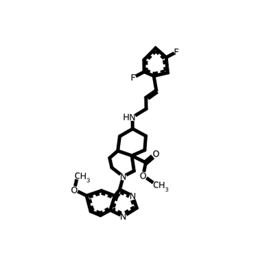 COC(=O)C12CCC(NCC=Cc3cc(F)ccc3F)CC1CCN(c1ncnc3ccc(OC)cc13)C2